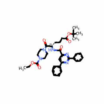 CCOC(=O)N1CCN(C(=O)[C@H](CCCC(=O)OC(C)(C)C)NC(=O)c2cc(-c3ccccc3)nc(-c3ccccc3)n2)CC1